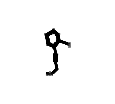 CNCC#Cc1ccccc1Cl